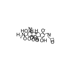 COc1c(CN(C)CC2CCOC2)cc(O)c2c1C[C@H]1C[C@H]3[C@H](N(C)C)C(O)=C(C(N)=O)C(=O)[C@@]3(O)C(O)=C1C2=O